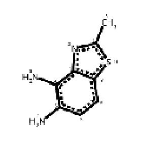 Cc1nc2c(N)c(N)ccc2s1